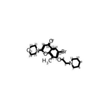 Cc1c(OCCN2CCCCC2)c(Br)cc2c(=O)cc(N3CCOCC3)oc12